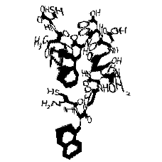 C[C@@H](O)[C@H](NC(=O)[C@H](Cc1c[nH]c2ccccc12)NC(=O)[C@H](CC(=O)O)NC(=O)[C@H](CC(=O)O)NC(=O)[C@@H](NC(=O)[C@H](CC(N)=O)NC(=O)CNC(=O)[C@H](Cc1cccc2ccccc12)NC(=O)[C@@H](N)CS)[C@@H](C)O)C(=O)N[C@@H](CS)C(=O)O